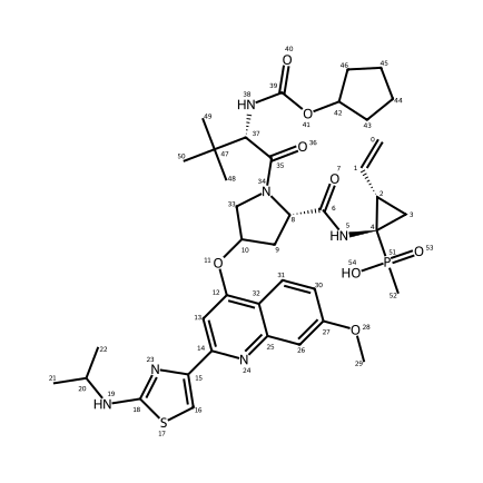 C=C[C@@H]1C[C@]1(NC(=O)[C@@H]1CC(Oc2cc(-c3csc(NC(C)C)n3)nc3cc(OC)ccc23)CN1C(=O)[C@@H](NC(=O)OC1CCCC1)C(C)(C)C)P(C)(=O)O